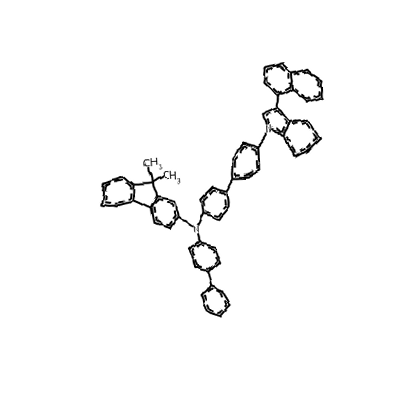 CC1(C)c2ccccc2-c2ccc(N(c3ccc(-c4ccccc4)cc3)c3ccc(-c4ccc(-n5cc(-c6cccc7ccccc67)c6ccccc65)cc4)cc3)cc21